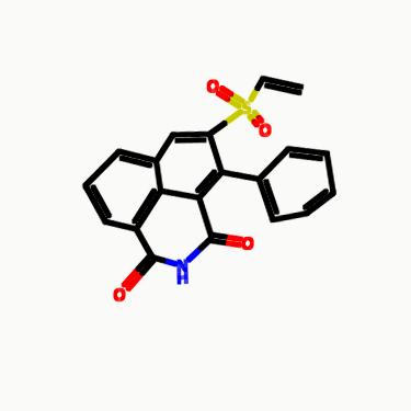 C=CS(=O)(=O)c1cc2cccc3c2c(c1-c1ccccc1)C(=O)NC3=O